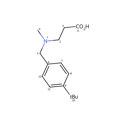 CN(CCC(=O)O)Cc1ccc(C(C)(C)C)cc1